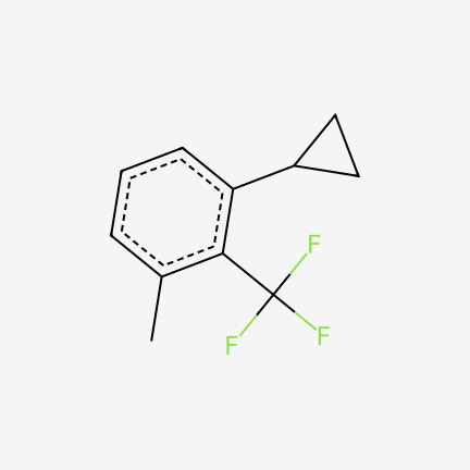 Cc1cccc(C2CC2)c1C(F)(F)F